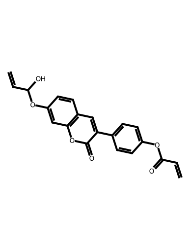 C=CC(=O)Oc1ccc(-c2cc3ccc(OC(O)C=C)cc3oc2=O)cc1